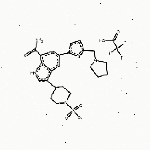 CCS(=O)(=O)N1CCC(c2c[nH]c3c(C(N)=O)cc(-c4ccc(CN5CCCC5)s4)cc23)CC1.O=C(O)C(F)(F)F